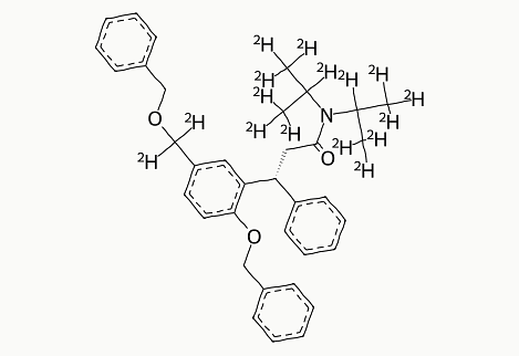 [2H]C([2H])(OCc1ccccc1)c1ccc(OCc2ccccc2)c([C@H](CC(=O)N(C([2H])(C([2H])([2H])[2H])C([2H])([2H])[2H])C([2H])(C([2H])([2H])[2H])C([2H])([2H])[2H])c2ccccc2)c1